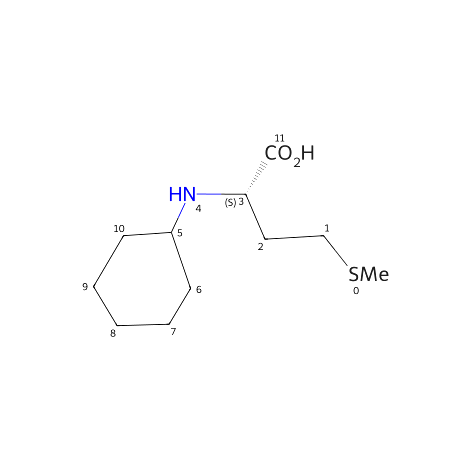 CSCC[C@H](NC1CCCCC1)C(=O)O